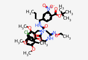 CCC[C@@H](NC(=O)[N+]1(Cc2c(OC)cc(OC)cc2OC)CC(=NOCC)NC[C@H](Cc2cc(Cl)ccc2OC)C1=O)c1ccc(C(=O)OC(C)(C)C)c([N+](=O)[O-])c1